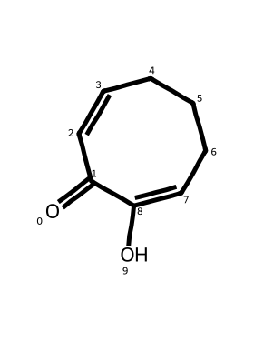 O=C1/C=C\CCC/C=C\1O